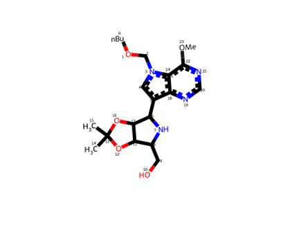 CCCCOCn1cc(C2NC(CO)C3OC(C)(C)OC23)c2ncnc(OC)c21